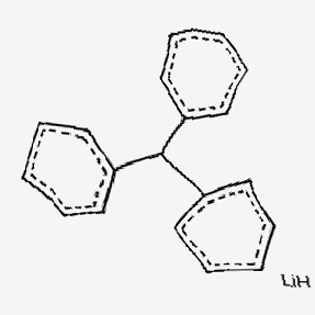 [LiH].c1ccc(C(c2ccccc2)c2ccccc2)cc1